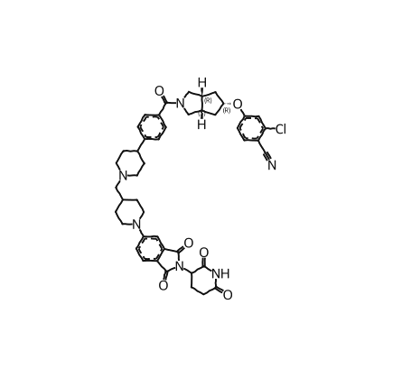 N#Cc1ccc(O[C@@H]2C[C@@H]3CN(C(=O)c4ccc(C5CCN(CC6CCN(c7ccc8c(c7)C(=O)N(C7CCC(=O)NC7=O)C8=O)CC6)CC5)cc4)C[C@@H]3C2)cc1Cl